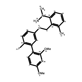 COc1ccc(-c2cc(OCc3c(C)cccc3N(C)N)ccc2F)c(OC)n1